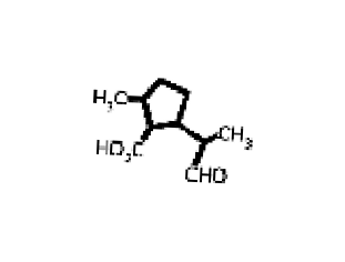 CC(C=O)C1CCC(C)C1C(=O)O